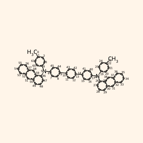 Cc1ccc(N(c2ccc(-c3ccc(-c4ccc(N(c5ccc(C)cc5)c5cccc6cc7ccccc7cc56)cc4)cc3)cc2)c2cccc3cc4ccccc4cc23)cc1